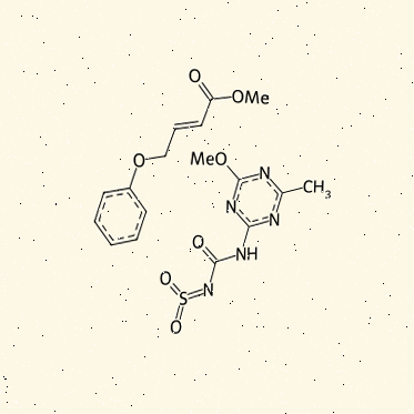 COC(=O)C=CCOc1ccccc1.COc1nc(C)nc(NC(=O)N=S(=O)=O)n1